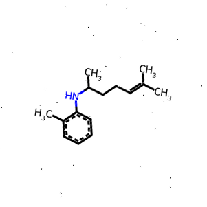 CC(C)=CCCC(C)Nc1ccccc1C